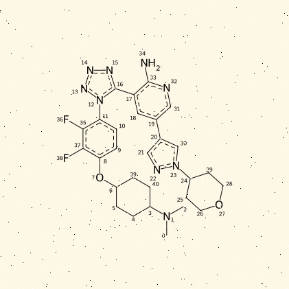 CN(C)C1CCC(Oc2ccc(-n3nnnc3-c3cc(-c4cnn(C5CCOCC5)c4)cnc3N)c(F)c2F)CC1